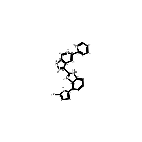 Fc1ccc(-c2cccc3[nH]c(-c4n[nH]c5cnc(-c6ccccn6)cc45)nc23)s1